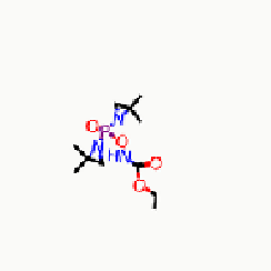 CCOC(=O)NOP(=O)(N1CC1(C)C)N1CC1(C)C